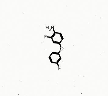 Nc1ccc(Oc2cccc(F)c2)cc1F